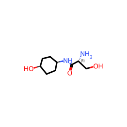 N[C@H](CO)C(=O)N[C@H]1CC[C@@H](O)CC1